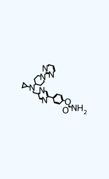 NC(=O)Oc1ccc(-c2cnc(CN(C3CC3)C3CCN(c4ncccn4)CC3)cn2)cc1